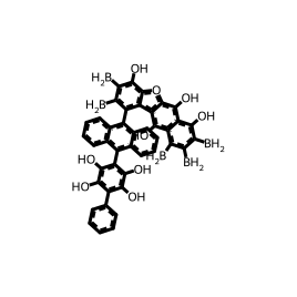 Bc1c(B)c(-c2c3ccccc3c(-c3c(O)c(O)c(-c4ccccc4)c(O)c3O)c3ccccc23)c2c(oc3c(O)c4c(O)c(B)c(B)c(B)c4c(O)c32)c1O